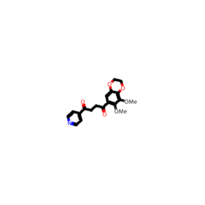 COc1c(C(=O)CCC(=O)c2ccncc2)cc2c(c1OC)OCCO2